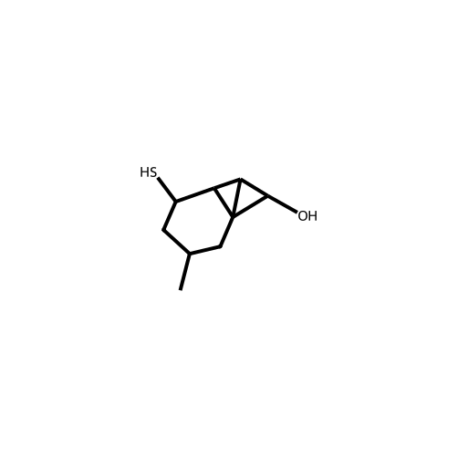 CC1CC(S)C2C3C(O)C23C1